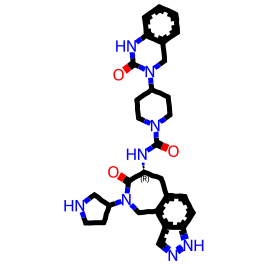 O=C(N[C@@H]1Cc2ccc3[nH]ncc3c2CN(C2CCNC2)C1=O)N1CCC(N2Cc3ccccc3NC2=O)CC1